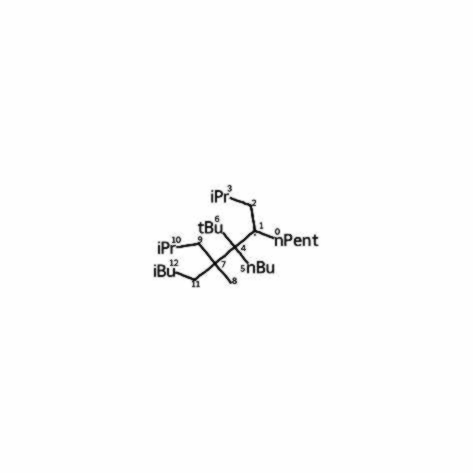 CCCCC[C](CC(C)C)C(CCCC)(C(C)(C)C)C(C)(CC(C)C)CC(C)CC